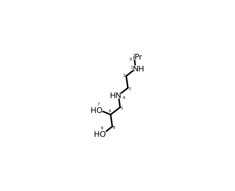 CC(C)NCCNCC(O)CO